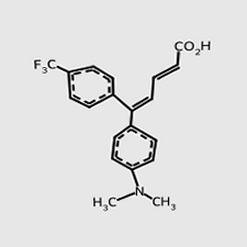 CN(C)c1ccc(/C(=C/C=C/C(=O)O)c2ccc(C(F)(F)F)cc2)cc1